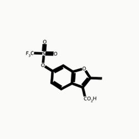 Cc1oc2cc(OS(=O)(=O)C(F)(F)F)ccc2c1C(=O)O